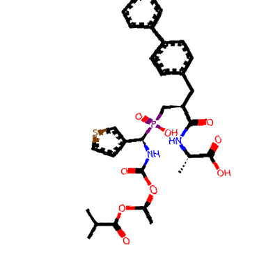 CC(OC(=O)N[C@@H](c1ccsc1)P(=O)(O)C[C@@H](Cc1ccc(-c2ccccc2)cc1)C(=O)N[C@@H](C)C(=O)O)OC(=O)C(C)C